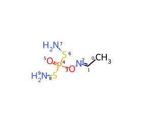 CC=NOP(=O)(SN)SN